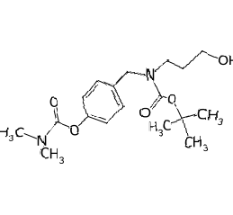 CN(C)C(=O)Oc1ccc(CN(CCCO)C(=O)OC(C)(C)C)cc1